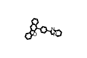 c1ccc2c(-c3ccc(-c4cn5ccccc5n4)cc3)c3oc4ccccc4c3cc2c1